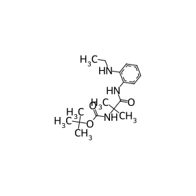 CCNc1ccccc1NC(=O)C(C)(C)NC(=O)OC(C)(C)C